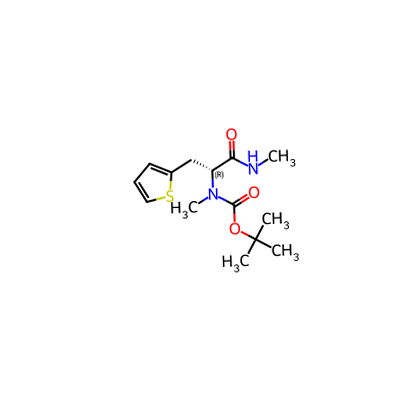 CNC(=O)[C@@H](Cc1cccs1)N(C)C(=O)OC(C)(C)C